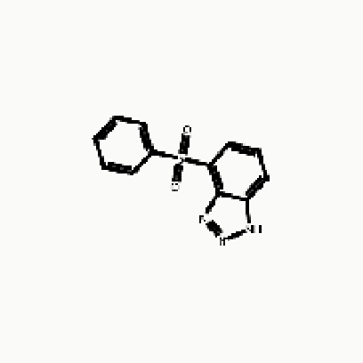 O=S(=O)(c1ccccc1)c1cccc2[nH]nnc12